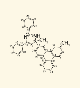 CC1C=Cc2c(c3cc(C4(C)C=C(c5ccccc5)N=C(c5ccccc5)N4)ccc3c3ccccc23)C1